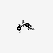 CC(C)On1nnc2ccc(C(C)On3nnc4ccc(Cl)cc43)cc2c1=O